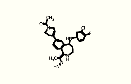 CC(=O)N1CC=C(c2ccc3c(c2)C(Nc2ccc(F)c(Cl)c2)CCN/C3=C(/C)N=N)CC1